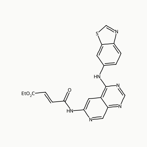 CCOC(=O)C=CC(=O)Nc1cc2c(Nc3ccc4ncsc4c3)ncnc2cn1